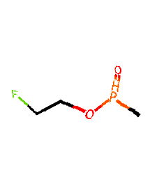 C[PH](=O)OCCF